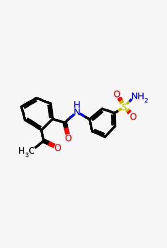 CC(=O)c1ccccc1C(=O)Nc1cccc(S(N)(=O)=O)c1